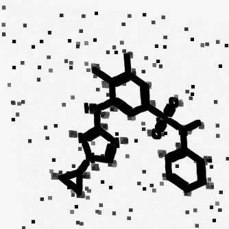 Cc1cc(S(=O)(=O)N(C)c2ccccc2)cc(Nc2ncn(C3CC3)n2)c1C